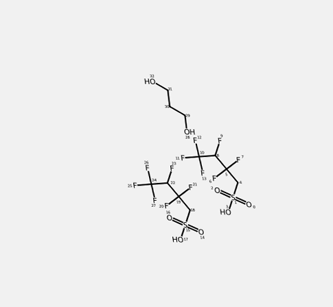 O=S(=O)(O)CC(F)(F)C(F)C(F)(F)F.O=S(=O)(O)CC(F)(F)C(F)C(F)(F)F.OCCCO